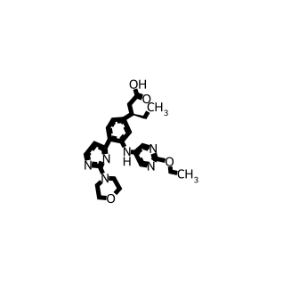 CCOc1ncc(Nc2cc([C@H](CC)CC(=O)O)ccc2-c2ccnc(N3CCOCC3)n2)cn1